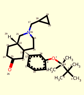 CC(C)(C)[Si](C)(C)Oc1cccc([C@@]23CCN(CC4CC4)C[C@H]2CCC(=O)C3)c1